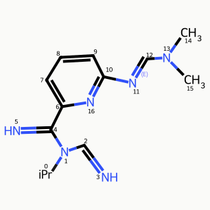 CC(C)N(C=N)C(=N)c1cccc(/N=C/N(C)C)n1